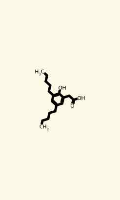 CCCCCc1cc(CCCCC)c(O)c(CC(=O)O)c1